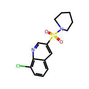 O=S(=O)(c1cnc2c(Cl)cccc2c1)N1CCCCC1